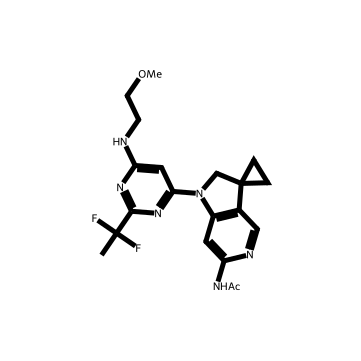 COCCNc1cc(N2CC3(CC3)c3cnc(NC(C)=O)cc32)nc(C(C)(F)F)n1